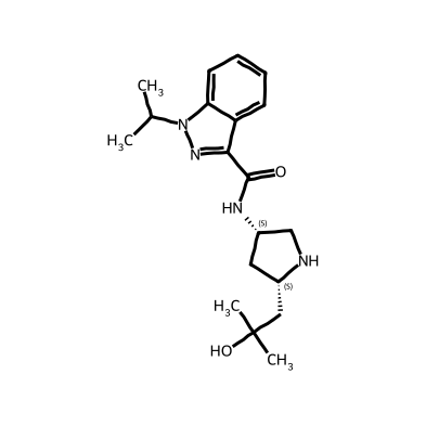 CC(C)n1nc(C(=O)N[C@@H]2CN[C@H](CC(C)(C)O)C2)c2ccccc21